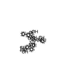 CC(CCC(=O)N[C@@H](CCSC(c1ccccc1)(c1ccccc1)c1ccccc1)C(=O)NC(CC(=O)O)c1ccc(-c2ccccc2)cc1)Nc1ccccn1.O=C(O)C(F)(F)F